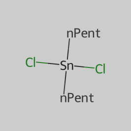 CCCC[CH2][Sn]([Cl])([Cl])[CH2]CCCC